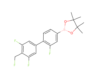 CC1(C)OB(c2ccc(-c3cc(F)c(CF)c(F)c3)c(F)c2)OC1(C)C